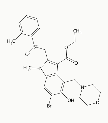 CCOC(=O)c1c(C[S+]([O-])c2ccccc2C)n(C)c2cc(Br)c(O)c(CN3CCOCC3)c12